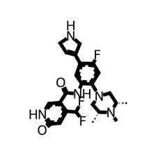 C[C@@H]1CN(c2cc(F)c(C3=CCNC3)cc2NC(=O)c2c[nH]c(=O)cc2C(F)F)C[C@H](C)N1C